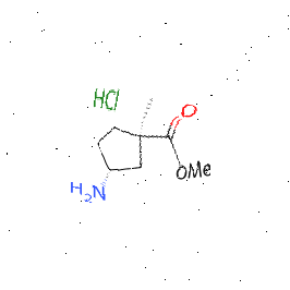 COC(=O)[C@]1(C)CC[C@@H](N)C1.Cl